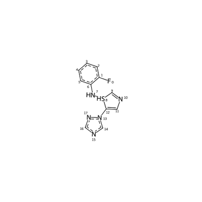 Fc1ccccc1N[SH]1C=NC=C1n1cncn1